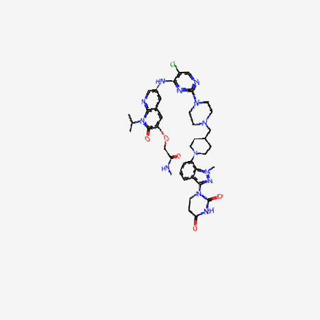 CNC(=O)COc1cc2cc(Nc3nc(N4CCN(CC5CCN(c6cccc7c(N8CCC(=O)NC8=O)nn(C)c67)CC5)CC4)ncc3Cl)cnc2n(C(C)C)c1=O